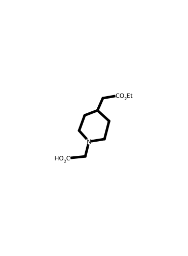 CCOC(=O)CC1CCN(CC(=O)O)CC1